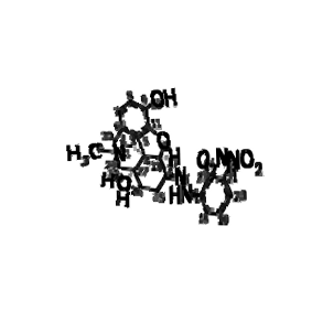 CN1CC[C@]23c4c5ccc(O)c4O[C@H]2C(=NNc2cccc([N+](=O)[O-])c2[N+](=O)[O-])CC[C@@]3(O)[C@H]1C5